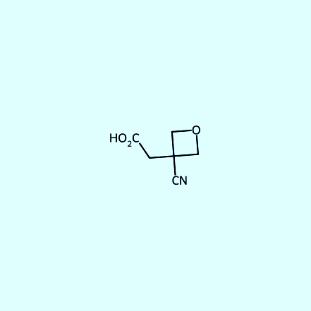 N#CC1(CC(=O)O)COC1